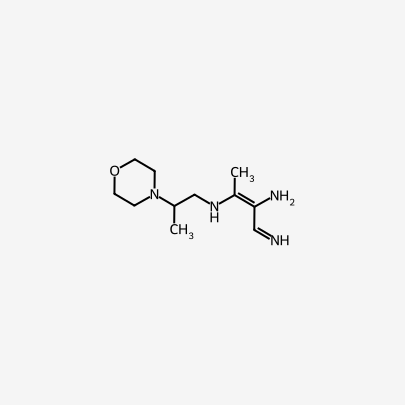 C/C(NCC(C)N1CCOCC1)=C(\N)C=N